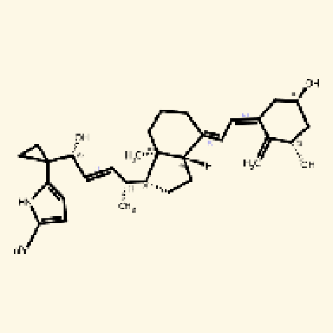 C=C1/C(=C\C=C2/CCC[C@]3(C)[C@@H]([C@H](C)/C=C/[C@@H](O)C4(c5ccc(CCC)[nH]5)CC4)CC[C@@H]23)C[C@@H](O)C[C@@H]1O